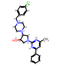 Cc1cc(-c2ccccc2)nc(N2CC(O)C(N3CCN(Cc4ccc(Cl)cc4)CC3)C2)n1